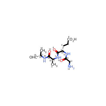 C[C@H](NC(=O)[C@H](CCC(=O)O)NC(=O)CN)C(=O)N[C@@H](C)C=O